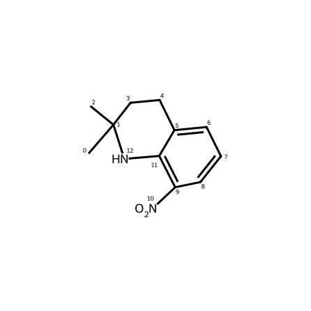 CC1(C)CCc2cccc([N+](=O)[O-])c2N1